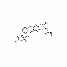 Cc1c(Cc2cccc(NS(=O)(=O)CC(=O)N(C)C)c2)c(=O)oc2cc(OC(=O)N(C)C)c(Cl)cc12